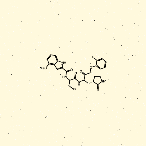 COc1cccc2[nH]c(C(=O)NC(CC(C)C)C(=O)NC(C[C@@H]3CCNC3=O)C(=O)COc3ccccc3F)cc12